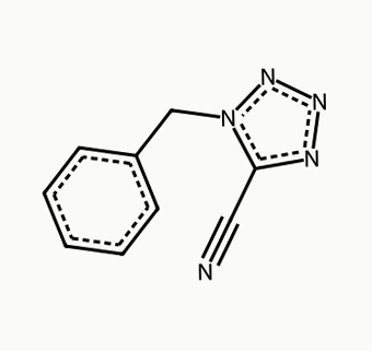 N#Cc1nnnn1Cc1ccccc1